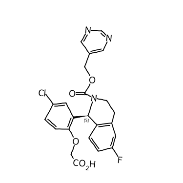 O=C(O)COc1ccc(Cl)cc1[C@@H]1c2ccc(F)cc2CCN1C(=O)OCc1cncnc1